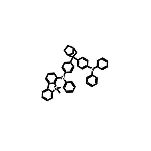 C[Si]1(C)c2ccccc2-c2cccc(N(c3ccccc3)c3ccc(C4(c5ccc(N(c6ccccc6)c6ccccc6)cc5)CC5CCC4C5)cc3)c21